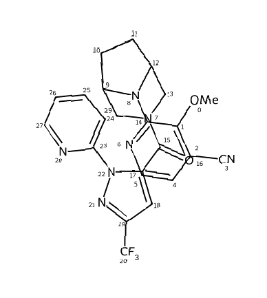 COc1c(C#N)ccnc1N1C2CCC1CN(C(=O)c1cc(C(F)(F)F)nn1-c1ccccn1)C2